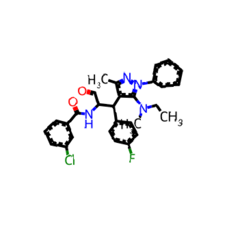 CCN(C)c1c(C(c2ccc(F)cc2)C(C=O)NC(=O)c2cccc(Cl)c2)c(C)nn1-c1ccccc1